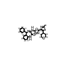 Cc1nc(-c2nnc(N[C@H]3N=C(c4ccccc4)c4ccccc4NC3=O)o2)c(C2CCOCC2)s1